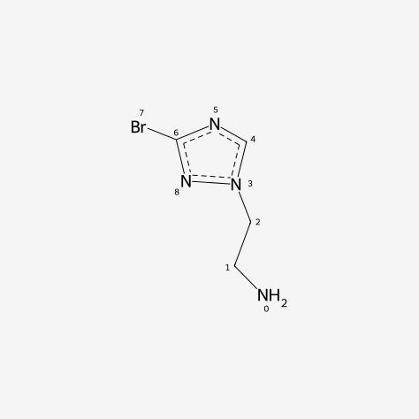 NCCn1cnc(Br)n1